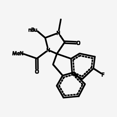 CCCCC1N(C)C(=O)C(Cc2ccccc2)(c2ccc(F)cc2)N1C(=O)NC